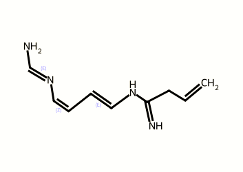 C=CCC(=N)N/C=C/C=C\N=C\N